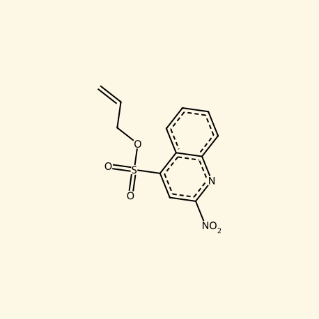 C=CCOS(=O)(=O)c1cc([N+](=O)[O-])nc2ccccc12